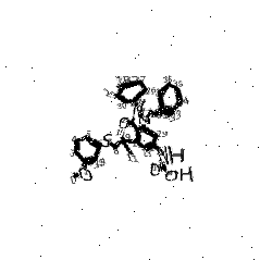 COc1cccc(SCC(C)(C)c2cc(NC(=O)O)cc3c2c(=O)n(-c2ccccc2)n3-c2ccccc2)c1